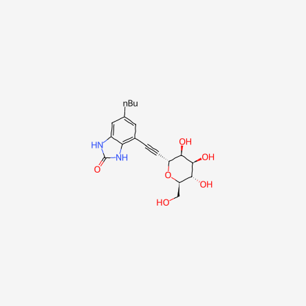 CCCCc1cc(C#C[C@H]2O[C@H](CO)[C@@H](O)[C@H](O)[C@@H]2O)c2[nH]c(=O)[nH]c2c1